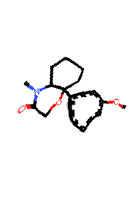 COc1cccc(C23CCCCC2N(C)C(=O)CO3)c1